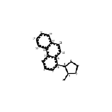 CC1CCCC1c1cccc2c1ccc1ccccc12